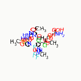 CCOC(=O)C(Cl)Cc1cc(-n2nc(C)n(C(F)F)c2=O)c(F)cc1Cl.CCS(=O)(=O)c1cccnc1S(=O)(=O)NC(=O)Nc1nc(OC)cc(OC)n1.CP(=O)(O)CCC(N)C(=O)O